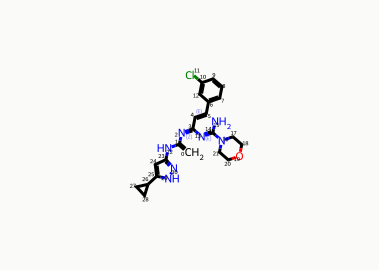 C=C(/N=C(/C=C/c1cccc(Cl)c1)\N=C(/N)N1CCOCC1)Nc1cc(C2CC2)[nH]n1